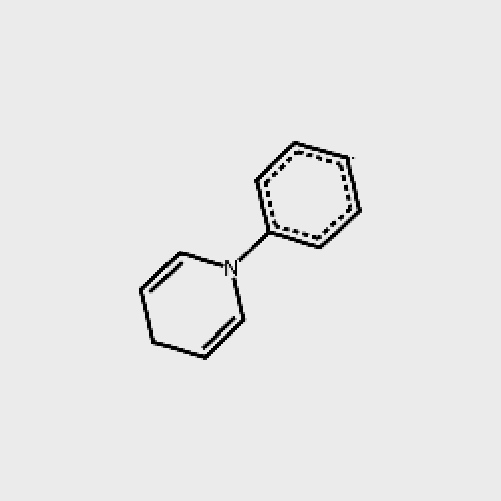 [c]1ccc(N2C=CCC=C2)cc1